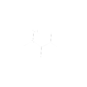 CC(O)C(C)N(C)N